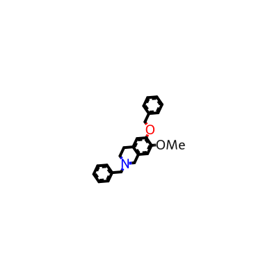 COc1cc2c(cc1OCc1ccccc1)CCN(Cc1ccccc1)C2